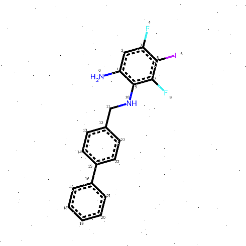 Nc1cc(F)c(I)c(F)c1NCc1ccc(-c2ccccc2)cc1